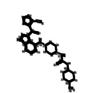 Cc1sccc1C(=O)c1c[nH]c2ncnc(N[C@H]3CC[C@@H](NC(=O)CN4CCN(C)CC4)CC3)c12